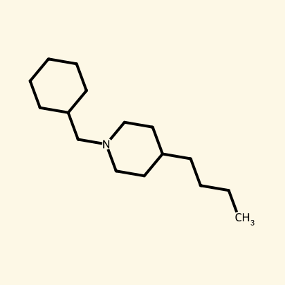 CCCCC1CCN(CC2CCCCC2)CC1